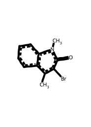 Cc1c(Br)c(=O)n(C)c2ccccc12